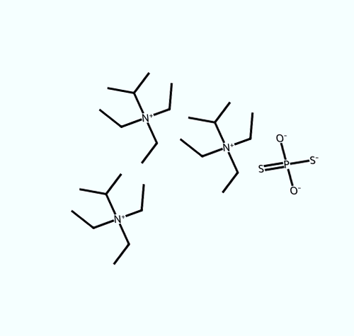 CC[N+](CC)(CC)C(C)C.CC[N+](CC)(CC)C(C)C.CC[N+](CC)(CC)C(C)C.[O-]P([O-])(=S)[S-]